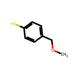 COCc1ccc(S)cc1